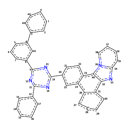 c1ccc(-c2cccc(-c3nc(-c4ccccc4)nc(-c4ccc5c(c4)c4ccccc4c4nc6ccccn6c54)n3)c2)cc1